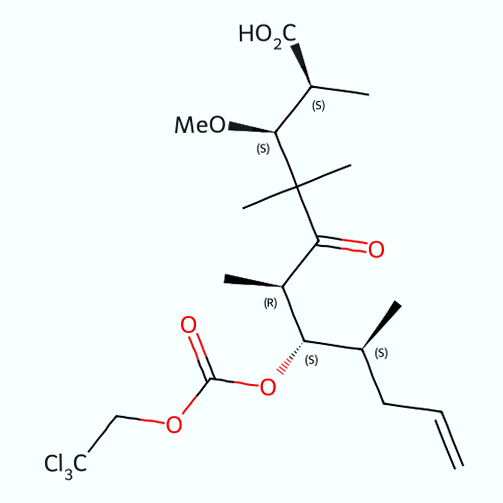 C=CC[C@H](C)[C@H](OC(=O)OCC(Cl)(Cl)Cl)[C@@H](C)C(=O)C(C)(C)[C@@H](OC)[C@H](C)C(=O)O